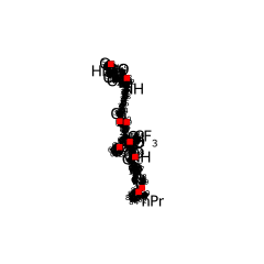 C=C(CCC)C1=C(CN2CCN(c3ccc(C(=O)NS(=O)(=O)c4ccc(N[C@H](CCN5CCN(C(=O)CCCCCCNc6ccc7c(c6)C(=O)N(C6CCC(=O)NC6=O)C7=O)CC5)CSc5ccccc5)c(S(=O)(=O)C(F)(F)F)c4)cc3)CC2)CCC(C)(C)C1